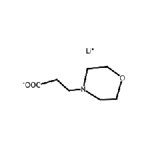 O=C([O-])CCN1CCOCC1.[Li+]